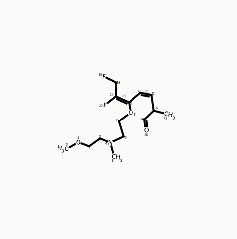 COCCN(C)CCOC(/C=C\C(C)C=O)=C(\F)CF